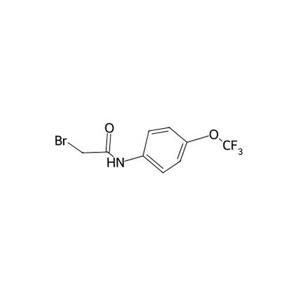 O=C(CBr)Nc1ccc(OC(F)(F)F)cc1